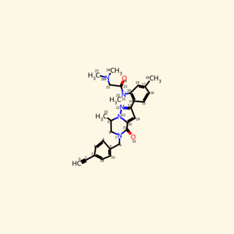 C#Cc1ccc(CN2CC(C)n3nc(-c4ccc(C)cc4N(C)C(=O)CN(C)C)cc3C2=O)cc1